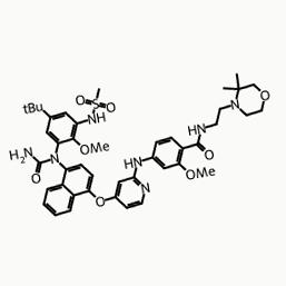 COc1cc(Nc2cc(Oc3ccc(N(C(N)=O)c4cc(C(C)(C)C)cc(NS(C)(=O)=O)c4OC)c4ccccc34)ccn2)ccc1C(=O)NCCN1CCOCC1(C)C